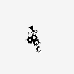 CC(C)CCN1CCC2(CC[C@H](NC(=O)C3CC3)c3ccccc32)CC1